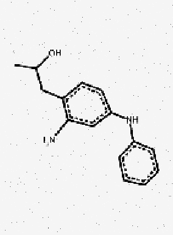 CC(O)Cc1ccc(Nc2ccccc2)cc1N